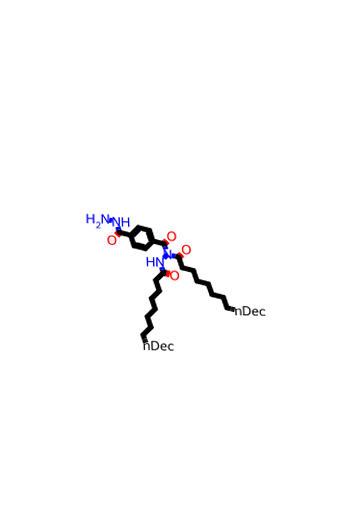 CCCCCCCCCCCCCCCCCC(=O)NN(C(=O)CCCCCCCCCCCCCCCCC)C(=O)c1ccc(C(=O)NN)cc1